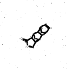 O=C1OCC2C3CC(C12)C1C2C=CC(C2)C31